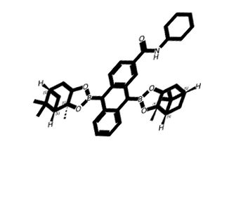 CC1(C)[C@@H]2CC3OB(C4c5ccccc5C(B5OC6C[C@@H]7C[C@@H](C7(C)C)[C@]6(C)O5)c5cc(C(=O)NC6CCCCC6)ccc54)O[C@@]3(C)[C@H]1C2